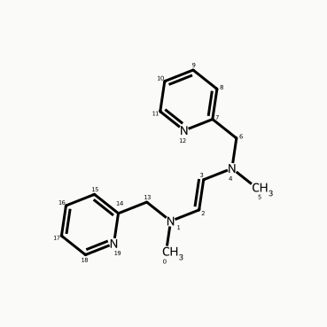 CN(C=CN(C)Cc1ccccn1)Cc1ccccn1